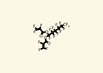 O=C(OC(F)(OC(=O)C(F)=C(F)F)C(F)(F)C(F)(F)C(F)(F)C(F)(F)C(F)(F)F)C(F)=C(F)F